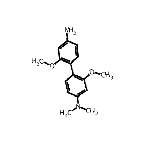 COc1cc(N)ccc1-c1ccc(N(C)C)cc1OC